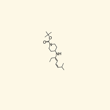 CC/C(=C\C=C/C(C)C)NC1CCN(C(=O)OC(C)(C)C)CC1